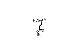 CCOC(=O)CCN(N)C(C)C